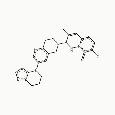 CC1=Cc2ncc(Cl)c(=O)n2NC1N1CCc2ncc(N3CCCn4nccc43)cc2C1